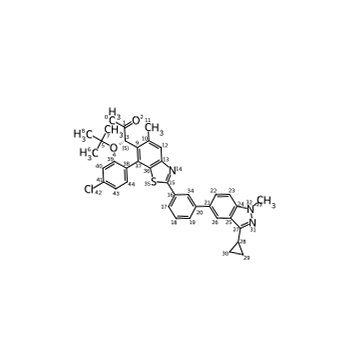 CC(=O)[C@@H](OC(C)(C)C)c1c(C)cc2nc(-c3cccc(-c4ccc5c(c4)c(C4CC4)nn5C)c3)sc2c1-c1ccc(Cl)cc1